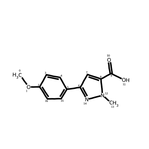 COc1ccc(-c2cc(C(=O)O)n(C)n2)cc1